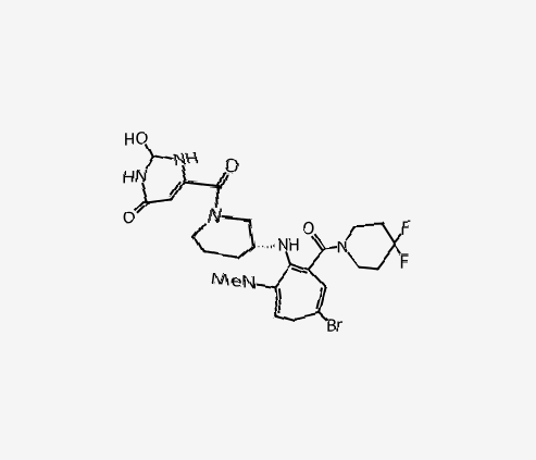 CNC1=CCC(Br)=CC(C(=O)N2CCC(F)(F)CC2)=C1N[C@@H]1CCCN(C(=O)C2=CC(=O)NC(O)N2)C1